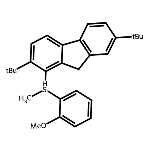 COc1ccccc1[SiH](C)c1c(C(C)(C)C)ccc2c1[CH]c1cc(C(C)(C)C)ccc1-2